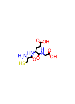 N[C@@H](CS)C(=O)N[C@@H](CCC(=O)O)C(=O)NCC(=O)O